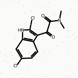 CN(C)C(=O)C(=O)c1c(Cl)[nH]c2cc(Cl)ccc12